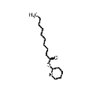 CCCCCCCCCC(=O)OC1CCCC[N]1